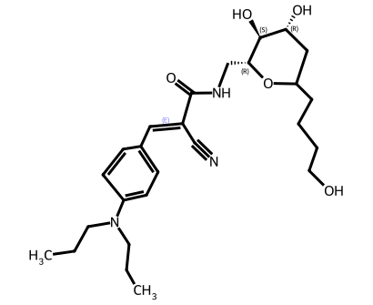 CCCN(CCC)c1ccc(/C=C(\C#N)C(=O)NC[C@H]2OC(CCCCO)C[C@@H](O)[C@@H]2O)cc1